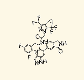 O=C(Cn1nc(C(F)F)c2c1C(F)(F)C1CC21)NC(Cc1cc(F)cc(F)c1)c1nc2cn[nH]c2cc1-c1ccc2c(c1)C(=O)NC2